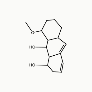 COC1CCCC2C=C3C=CCC(O)C3C(O)C21